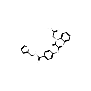 O=C(O)Cn1c(=O)c(Nc2ccc(C(=O)NCc3cccs3)cc2)nc2ccccc21